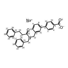 O=C([O-])c1ccc(-c2cccc(CN(Cc3ccccc3)C(=O)CCc3ccccc3)c2)cc1.[Na+]